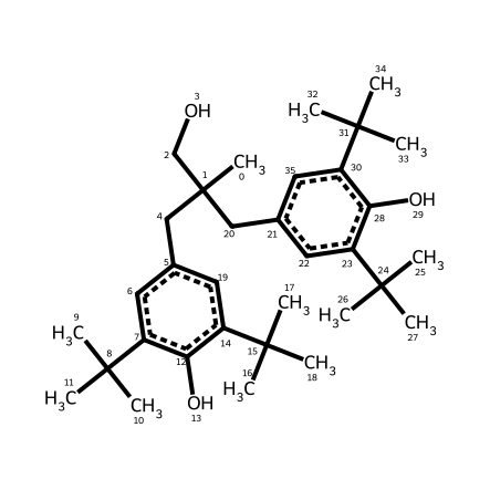 CC(CO)(Cc1cc(C(C)(C)C)c(O)c(C(C)(C)C)c1)Cc1cc(C(C)(C)C)c(O)c(C(C)(C)C)c1